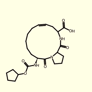 O=C(N[C@H]1CCCCC/C=C\CC(C(=O)O)NC(=O)C2CCCN2C1=O)OC1CCCC1